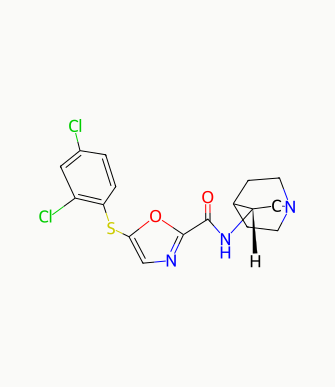 O=C(N[C@H]1CN2CCC1CC2)c1ncc(Sc2ccc(Cl)cc2Cl)o1